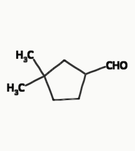 CC1(C)CCC(C=O)C1